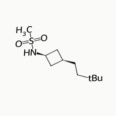 CC(C)(C)CC[C@H]1C[C@@H](NS(C)(=O)=O)C1